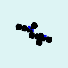 c1ccc(-c2ccc(-c3cc(-c4cccc(-c5ccc6c(ccc7nc(-c8ccccc8)cc(-c8ccccc8)c76)c5)c4)nc(-c4ccccc4)n3)cc2)cc1